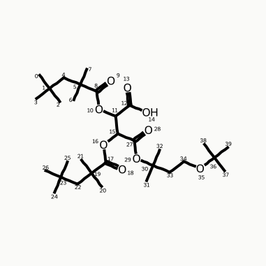 CC(C)(C)CC(C)(C)C(=O)OC(C(=O)O)C(OC(=O)C(C)(C)CC(C)(C)C)C(=O)OC(C)(C)CCOC(C)(C)C